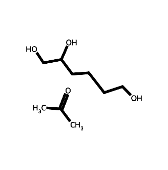 CC(C)=O.OCCCCC(O)CO